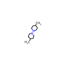 CC1CCN(N2CCC(C)CC2)CC1